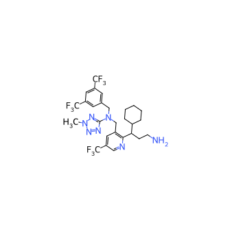 Cn1nnc(N(Cc2cc(C(F)(F)F)cc(C(F)(F)F)c2)Cc2cc(C(F)(F)F)cnc2C(CCN)C2CCCCC2)n1